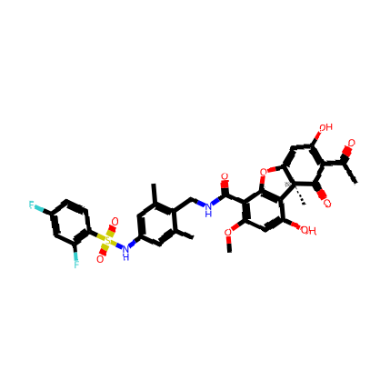 COc1cc(O)c2c(c1C(=O)NCc1c(C)cc(NS(=O)(=O)c3ccc(F)cc3F)cc1C)OC1=CC(O)=C(C(C)=O)C(=O)[C@]12C